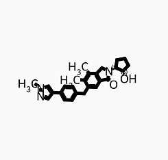 Cc1c(Cc2ccc(-c3cnn(C)c3)cc2)cc2c(c1C)CN([C@H]1CCC[C@@H]1O)C2=O